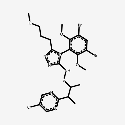 COCCCc1nnc(NSC(C)C(C)c2ncc(Cl)cn2)n1-c1c(OC)c(Br)cc(Br)c1OC